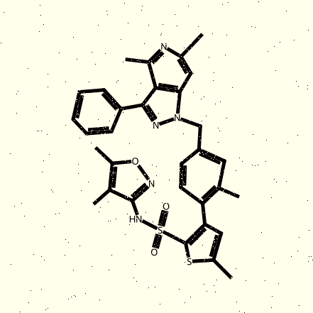 Cc1cc2c(c(C)n1)c(-c1ccccc1)nn2Cc1ccc(-c2cc(C)sc2S(=O)(=O)Nc2noc(C)c2C)c(C)c1